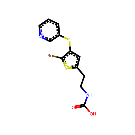 O=C(O)NCCc1cc(Sc2cccnc2)c(Br)s1